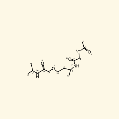 CC(=O)OCC(=O)NC(C)CCOCC(=O)NC(C)C